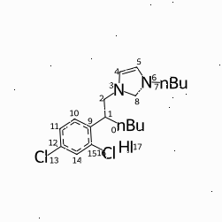 CCCCC(CN1C=CN(CCCC)C1)c1ccc(Cl)cc1Cl.I